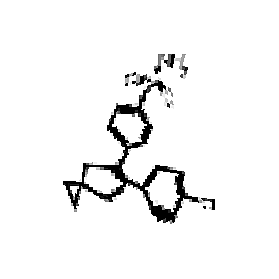 NS(=O)(=O)c1ccc(C2=C(c3ccc(Cl)cc3)CC3(CC3)C2)cc1